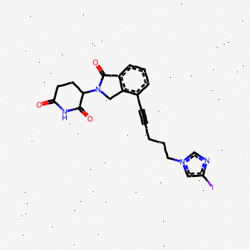 O=C1CCC(N2Cc3c(C#CCCCn4cnc(I)c4)cccc3C2=O)C(=O)N1